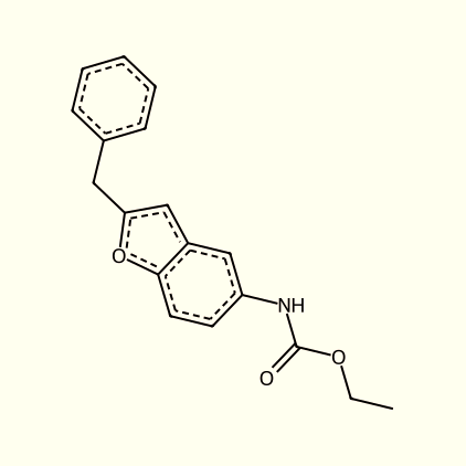 CCOC(=O)Nc1ccc2oc(Cc3ccccc3)cc2c1